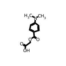 CN(C)c1ccc(C(=O)OCC(=O)O)cc1